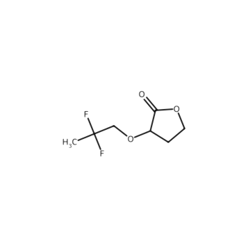 CC(F)(F)COC1CCOC1=O